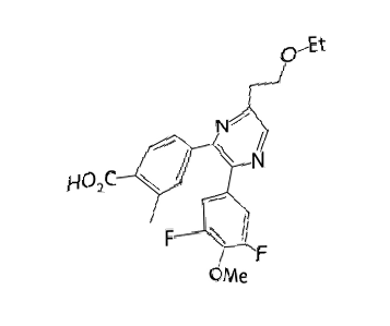 CCOCCc1cnc(-c2cc(F)c(OC)c(F)c2)c(-c2ccc(C(=O)O)c(C)c2)n1